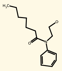 CCCCCCC(=O)N(CC[O])c1ccccc1